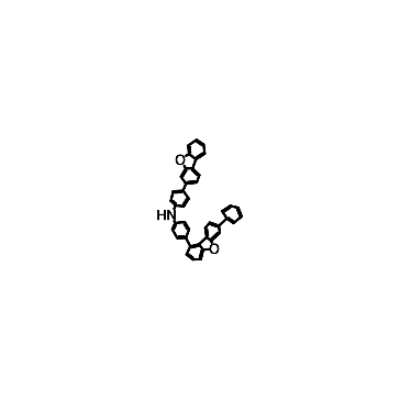 c1ccc(-c2ccc3c(c2)oc2cccc(-c4ccc(Nc5ccc(-c6ccc7c(c6)oc6ccccc67)cc5)cc4)c23)cc1